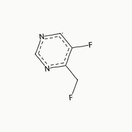 FCc1ncn[c]c1F